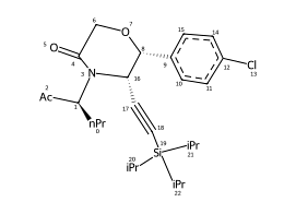 CCC[C@@H](C(C)=O)N1C(=O)CO[C@H](c2ccc(Cl)cc2)[C@@H]1C#C[Si](C(C)C)(C(C)C)C(C)C